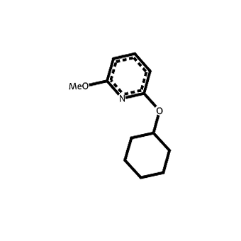 COc1cccc(OC2CCCCC2)n1